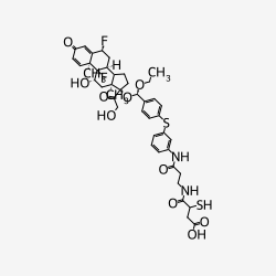 CCO[C@H](O[C@]1(C(=O)CO)CCC2[C@@H]3C[C@H](F)C4=CC(=O)C=C[C@]4(C)[C@@]3(F)[C@@H](O)C[C@@]21C)c1ccc(Sc2cccc(NC(=O)CCNC(=O)C(S)CC(=O)O)c2)cc1